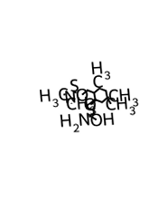 CC1CC(C)(C)CC(=O)C1COC(=S)N(C)C.NC(O)=S